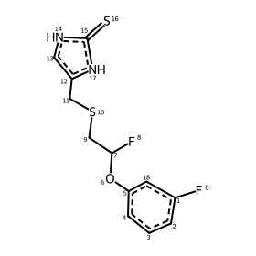 Fc1cccc(OC(F)CSCc2c[nH]c(=S)[nH]2)c1